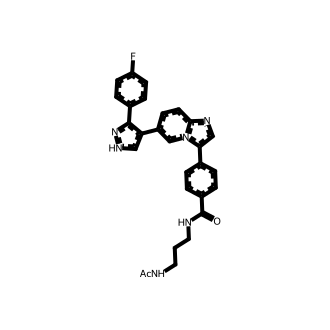 CC(=O)NCCCNC(=O)c1ccc(-c2cnc3ccc(-c4c[nH]nc4-c4ccc(F)cc4)cn23)cc1